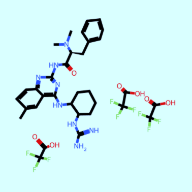 Cc1ccc2nc(NC(=O)[C@H](Cc3ccccc3)N(C)C)nc(NC3CCCCC3NC(=N)N)c2c1.O=C(O)C(F)(F)F.O=C(O)C(F)(F)F.O=C(O)C(F)(F)F